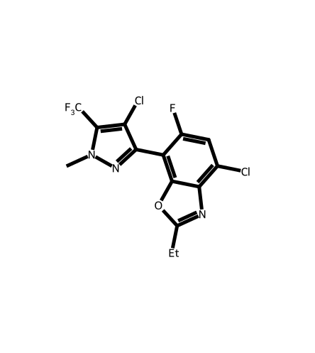 CCc1nc2c(Cl)cc(F)c(-c3nn(C)c(C(F)(F)F)c3Cl)c2o1